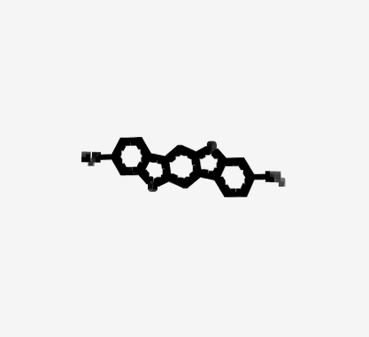 Nc1ccc2c(c1)oc1cc3c(cc12)oc1cc(N)ccc13